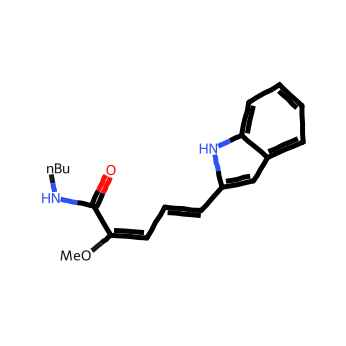 CCCCNC(=O)C(=CC=Cc1cc2ccccc2[nH]1)OC